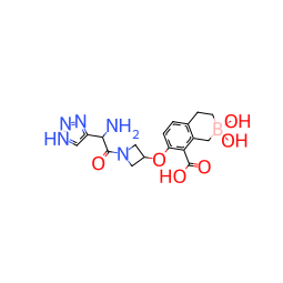 NC(C(=O)N1CC(Oc2ccc3c(c2C(=O)O)C[B-](O)(O)CC3)C1)c1c[nH]nn1